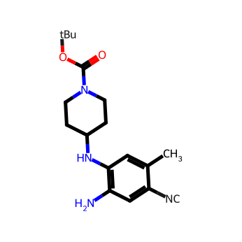 [C-]#[N+]c1cc(N)c(NC2CCN(C(=O)OC(C)(C)C)CC2)cc1C